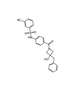 N#Cc1cccc(S(=O)(=O)Nc2ccc(C(=O)N3CC(O)(Cc4ccccc4)C3)cc2)c1